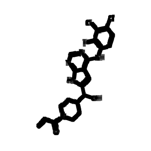 C=CC(=O)N1CCC(C(O)c2cc3c(Nc4ccc(Cl)c(Cl)c4F)ncnc3[nH]2)CC1